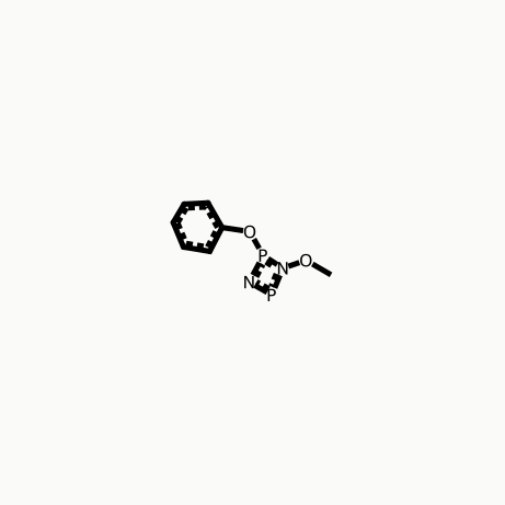 COn1pnp1Oc1ccccc1